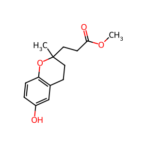 COC(=O)CCC1(C)CCc2cc(O)ccc2O1